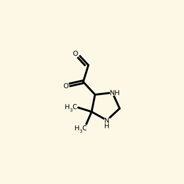 CC1(C)NCNC1C(=O)C=O